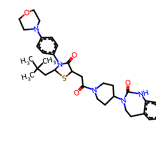 CC(C)(C)CC1SC(CC(=O)N2CCC(N3CCc4ccccc4NC3=O)CC2)C(=O)N1c1ccc(N2CCOCC2)cc1